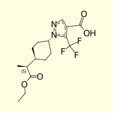 CCOC(=O)[C@@H](C)[C@H]1CC[C@H](n2ncc(C(=O)O)c2C(F)(F)F)CC1